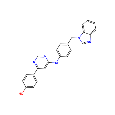 Oc1ccc(-c2cc(Nc3ccc(Cn4cnc5ccccc54)cc3)ncn2)cc1